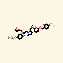 CC1CCC(CN(C)c2cccc(OCc3ccc(C(F)(F)F)cc3F)n2)N1Cc1nc2ccc(C(=O)O)cc2n1CC1CCO1